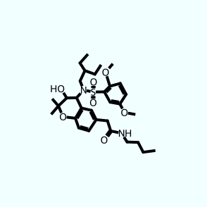 CCCCNC(=O)Cc1ccc2c(c1)C(N(CC(CC)CC)S(=O)(=O)c1cc(OC)ccc1OC)C(O)C(C)(C)O2